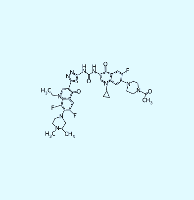 CCn1cc(-c2nnc(NC(=O)Nc3cn(C4CC4)c4cc(N5CCN(C(C)=O)CC5)c(F)cc4c3=O)s2)c(=O)c2cc(F)c(N3CCN(C)C(C)C3)c(F)c21